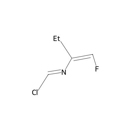 CCC(=C/F)/N=C/Cl